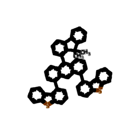 CC1(C)c2ccccc2-c2cccc(-c3c4cccc(-c5cccc6sc7ccccc7c56)c4cc4c(-c5cccc6sc7ccccc7c56)cccc34)c21